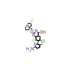 Cc1ccc(N)nc1-c1c(Cl)cc2c(O)nc(OC[C@@]34CCCN3C[C@H](F)C4)nc2c1F